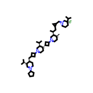 CC(C)[C@@H]1CN(C2CCCC2)CC[C@@H]1CC1CC(N2CC[C@@H](C3CC(N4CC[C@H](C)[C@H](C(C)CC5CC5CN5CCC[C@](F)(C(C)C)C5)C4)C3)[C@H](C(C)C)C2)C1